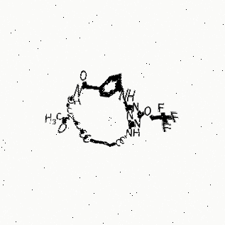 CC(=O)N1CCCCCCCCNc2nc(nc(OCC(F)(F)F)n2)Nc2ccc(cc2)C(=O)NCCC1